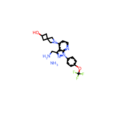 N.NCc1nn(-c2ccc(OC(F)(F)F)cc2)c2nccc(N3CC4(CC(O)C4)C3)c12